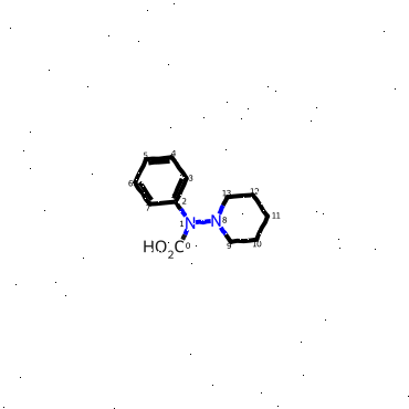 O=C(O)N(c1ccccc1)N1CCCCC1